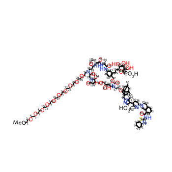 COCCOCCOCCOCCOCCOCCOCCOCCOCCOCCOCCN(CCC(=O)N[C@H](C(=O)N[C@@H](C)C(=O)Nc1ccc(COC(=O)N(CCOC23CC4(C)CC(C)(CC(Cn5ncc(-c6ccc(N7CCc8cccc(C(=O)Nc9nc%10ccccc%10s9)c8C7)nc6C(=O)O)c5C)(C4)C2)C3)CC[C@H](O)CO)c(CC[C@@H]2O[C@H](C(=O)O)[C@H](O)[C@@H](O)[C@H]2O)c1)C(C)C)C(=O)CN1C(=O)C=CC1=O